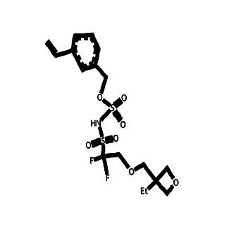 C=Cc1cccc(COS(=O)(=O)NS(=O)(=O)C(F)(F)COCC2(CC)COC2)c1